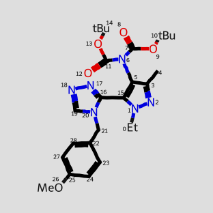 CCn1nc(C)c(N(C(=O)OC(C)(C)C)C(=O)OC(C)(C)C)c1-c1nncn1Cc1ccc(OC)cc1